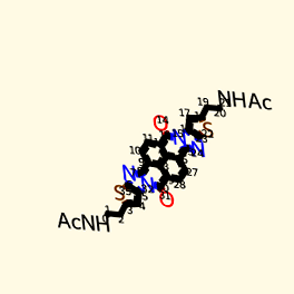 CC(=O)NCCc1cc2c(nc3c4ccc5c(=O)n6c7cc(CCNC(C)=O)sc7nc6c6ccc(c(=O)n23)c4c56)s1